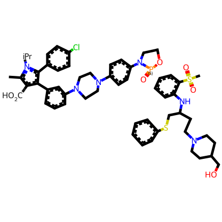 Cc1c(C(=O)O)c(-c2cccc(N3CCN(c4ccc(N5CCO[P@@]5(=O)c5ccc(NC(CCN6CCC(CO)CC6)CSc6ccccc6)c(S(C)(=O)=O)c5)cc4)CC3)c2)c(-c2ccc(Cl)cc2)n1C(C)C